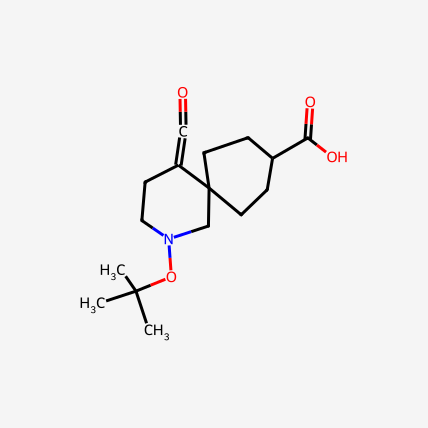 CC(C)(C)ON1CCC(=C=O)C2(CCC(C(=O)O)CC2)C1